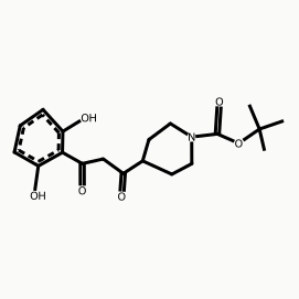 CC(C)(C)OC(=O)N1CCC(C(=O)CC(=O)c2c(O)cccc2O)CC1